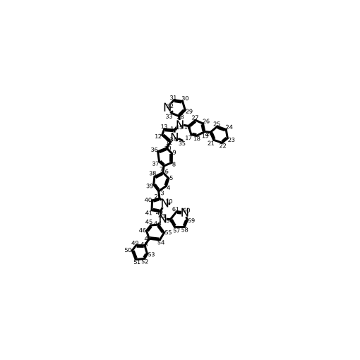 Cn1c(-c2ccc(-c3ccc(-c4ccc(N(c5ccc(-c6ccccc6)cc5)c5cccnc5)n4C)cc3)cc2)ccc1N(c1ccc(-c2ccccc2)cc1)c1cccnc1